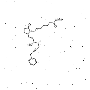 COC(=O)CCCCCCN1C(=O)CCC1C=C[C@@H](O)[C@H](C)CC#CCc1ccccc1